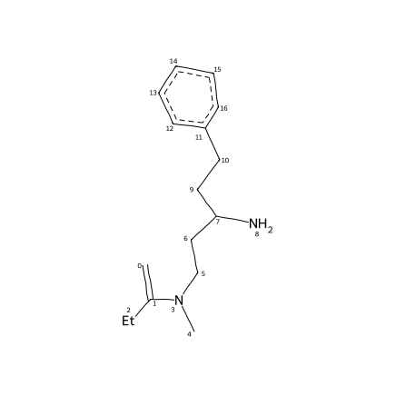 C=C(CC)N(C)CCC(N)CCc1ccccc1